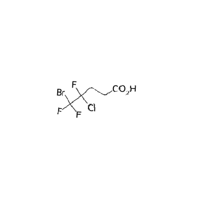 O=C(O)CCC(F)(Cl)C(F)(F)Br